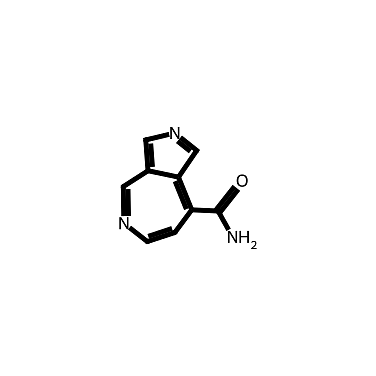 NC(=O)c1ccncc2cncc1-2